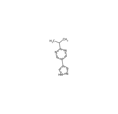 CC(C)c1ncc(-c2cn[nH]c2)cn1